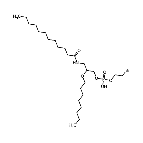 CCCCCCCCCCCC(=O)NCC(COP(=O)(O)OCCBr)OCCCCCCCC